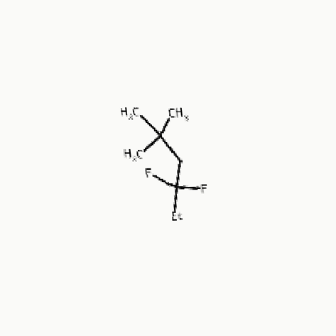 CCC(F)(F)CC(C)(C)C